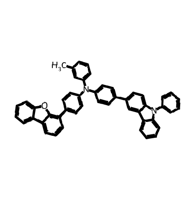 Cc1cccc(N(c2ccc(-c3ccc4c(c3)c3ccccc3n4-c3ccccc3)cc2)c2ccc(-c3cccc4c3oc3ccccc34)cc2)c1